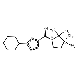 CC1(C)[C@H](C(=N)c2noc(C3CCCCC3)n2)CC[C@]1(C)N